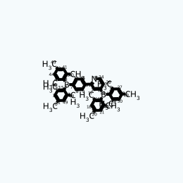 Cc1cc(C)c(B(c2ccc(-c3cc(B(c4c(C)cc(C)cc4C)c4c(C)cc(C)cc4C)ccn3)cc2)c2c(C)cc(C)cc2C)c(C)c1